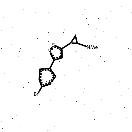 CNC1CC1c1cc(-c2ccc(Br)cc2)ns1